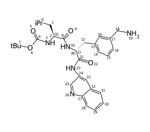 CC(C)C[C@H](NC(=O)OC(C)(C)C)C(=O)N[C@H](Cc1cccc(CN)c1)C(=O)Nc1cnc2ccccc2c1